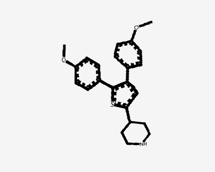 COc1ccc(-c2cc(C3CCNCC3)sc2-c2ccc(OC)cc2)cc1